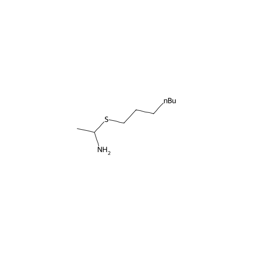 CCCCCCCSC(C)N